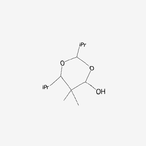 CC(C)C1OC(O)C(C)(C)C(C(C)C)O1